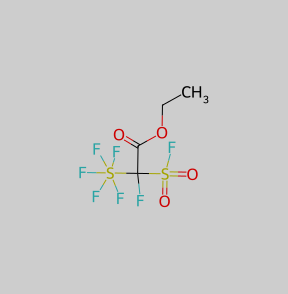 CCOC(=O)C(F)(S(=O)(=O)F)S(F)(F)(F)(F)F